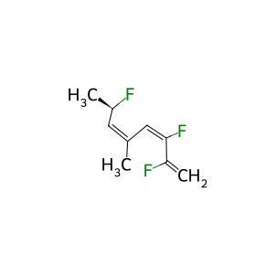 C=C(F)/C(F)=C\C(C)=C/[C@@H](C)F